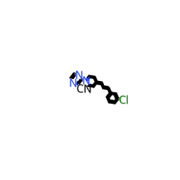 N#Cc1nccnc1N1CCC(=CC=Cc2cccc(Cl)c2)CC1